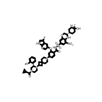 CC(C)c1ccccc1[C@@H]1CN(C(=O)C2CC2)CCN1C1CC2(CCN(c3ccc(C(=O)NS(=O)(=O)c4cc5c(c([N+](=O)[O-])c4)N[C@@H](C4CCC(C)(O)CC4)CO5)c(Oc4cnc5[nH]cc(F)c5c4)c3)CC2)C1